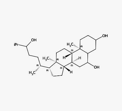 CC(C)C(O)CC[C@@H](C)[C@H]1CC[C@H]2[C@@H]3CC(O)C4CC(O)CC[C@]4(C)[C@H]3CC[C@]12C